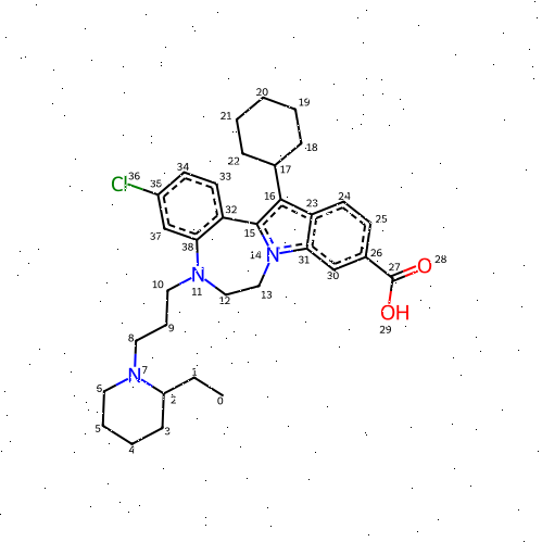 CCC1CCCCN1CCCN1CCn2c(c(C3CCCCC3)c3ccc(C(=O)O)cc32)-c2ccc(Cl)cc21